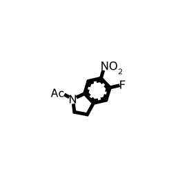 CC(=O)N1CCc2cc(F)c([N+](=O)[O-])cc21